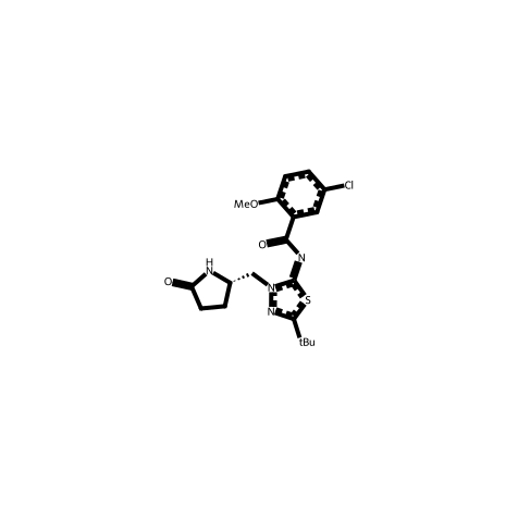 COc1ccc(Cl)cc1C(=O)N=c1sc(C(C)(C)C)nn1C[C@@H]1CCC(=O)N1